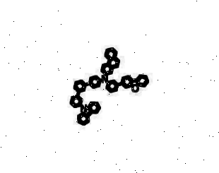 c1cc(-c2ccc(N(c3cccc(-c4ccc5c(c4)oc4ccccc45)c3)c3ccc4c(ccc5ccccc54)c3)cc2)cc(-c2cccc(-n3c4ccccc4c4ccccc43)c2)c1